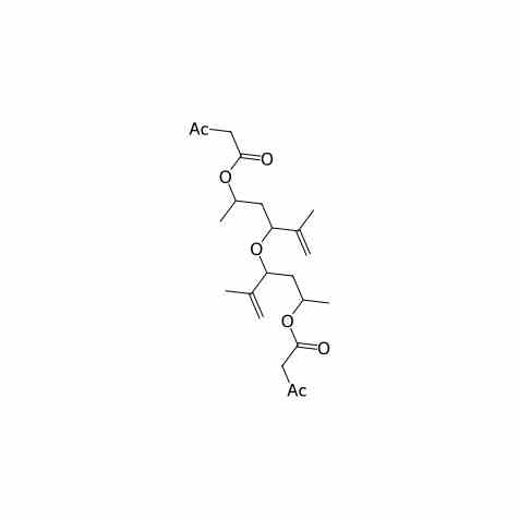 C=C(C)C(CC(C)OC(=O)CC(C)=O)OC(CC(C)OC(=O)CC(C)=O)C(=C)C